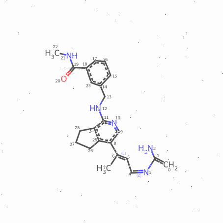 C=C(N)/N=C\C=C(/C)c1cnc(NCc2cccc(C(=O)NC)c2)c2c1CCC2